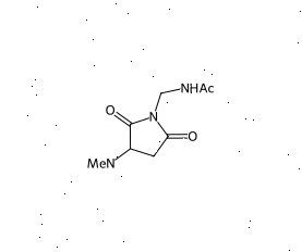 CNC1CC(=O)N(CNC(C)=O)C1=O